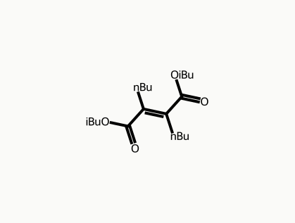 CCCCC(C(=O)OCC(C)C)=C(CCCC)C(=O)OCC(C)C